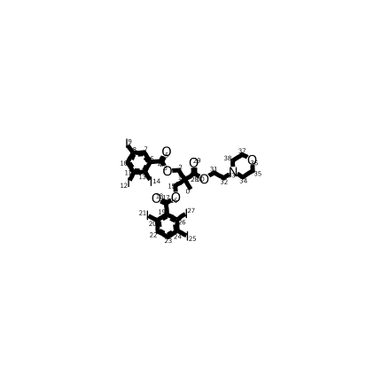 CC(COC(=O)c1cc(I)cc(I)c1I)(COC(=O)c1c(I)ccc(I)c1I)C(=O)OCCN1CCOCC1